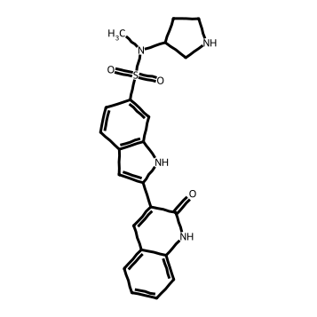 CN(C1CCNC1)S(=O)(=O)c1ccc2cc(-c3cc4ccccc4[nH]c3=O)[nH]c2c1